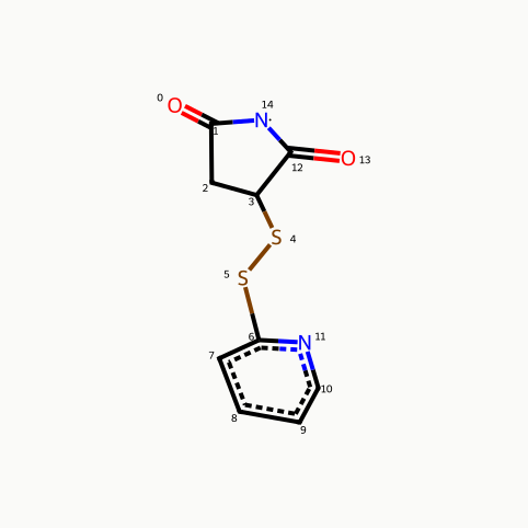 O=C1CC(SSc2ccccn2)C(=O)[N]1